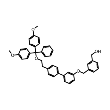 COc1ccc(C(OCCc2ccc(-c3cccc(OCc4cccc(CO)c4)c3)cc2)(c2ccccc2)c2ccc(OC)cc2)cc1